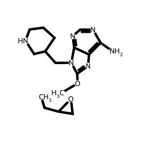 CCC1CO1.COc1nc2c(N)ncnc2n1CC1CCCNC1